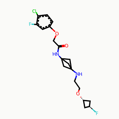 O=C(COc1ccc(Cl)c(F)c1)NC12CC(NCCO[C@H]3C[C@H](F)C3)(C1)C2